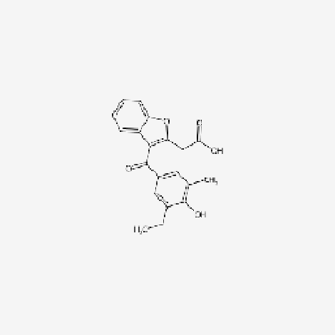 CCc1cc(C(=O)c2c(CC(=O)O)oc3ccccc23)cc(C)c1O